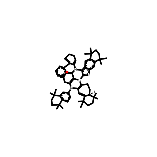 CC1C=C2C3=C(C1)N(c1ccc4c(c1)C(C)(C)CCC4(C)C)C1=C(CC[C@H]4C(=C1)C(C)(C)CCC4(C)C)B3c1sc3cc4c(cc3c1N2C1=CCCC=C1c1ccccc1)C(C)(C)CCC4(C)C